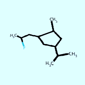 CC(F)CC1CC(C(C)C)CC1C